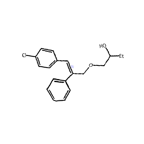 CCC(O)COC/C(=C/c1ccc(Cl)cc1)c1ccccc1